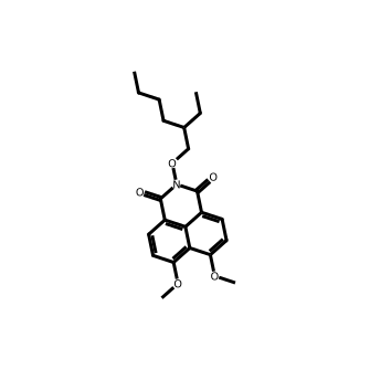 CCCCC(CC)CON1C(=O)c2ccc(OC)c3c(OC)ccc(c23)C1=O